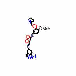 COc1ccc(/C=C/C(=O)CC(=O)/C=C/c2ccc3[nH]ccc3c2)cc1OCc1ccccn1